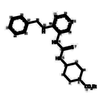 CCOC(=O)N1CCC(NC(=S)Nc2cncnc2NCc2ccccc2)CC1